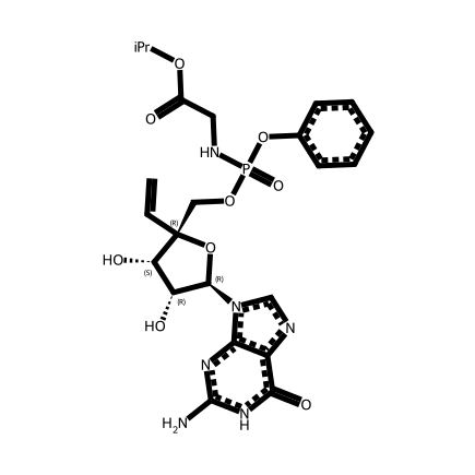 C=C[C@]1(COP(=O)(NCC(=O)OC(C)C)Oc2ccccc2)O[C@@H](n2cnc3c(=O)[nH]c(N)nc32)[C@H](O)[C@@H]1O